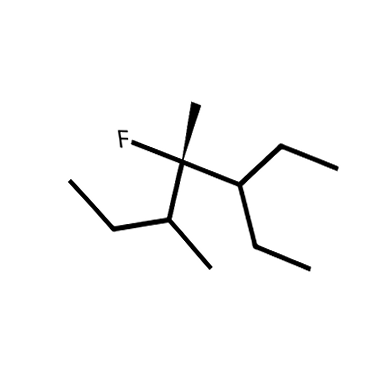 CCC(C)[C@](C)(F)C(CC)CC